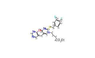 CCOC(=O)CCCn1cc(Cc2cncnc2)c(=O)nc1SCc1ccc(F)c(F)c1